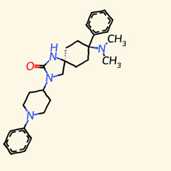 CN(C)[C@]1(c2ccccc2)CC[C@]2(CC1)CN(C1CCN(c3ccccc3)CC1)C(=O)N2